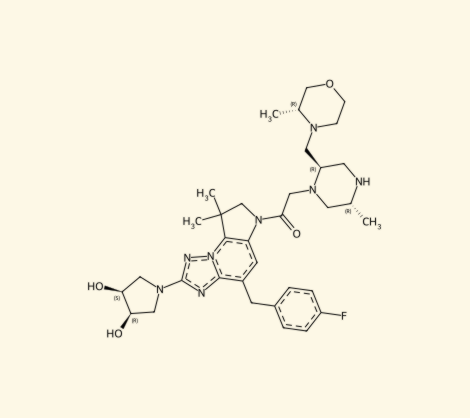 C[C@@H]1CN(CC(=O)N2CC(C)(C)c3c2cc(Cc2ccc(F)cc2)c2nc(N4C[C@@H](O)[C@@H](O)C4)nn32)[C@@H](CN2CCOC[C@H]2C)CN1